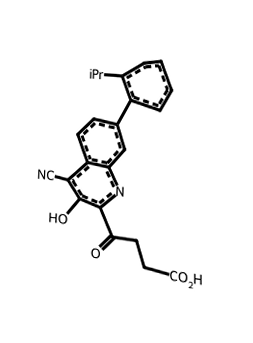 CC(C)c1ccccc1-c1ccc2c(C#N)c(O)c(C(=O)CCC(=O)O)nc2c1